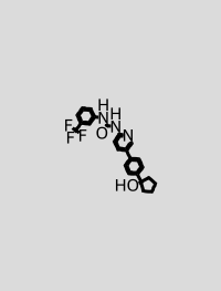 O=C(Nc1cccc(C(F)(F)F)c1)Nc1ccc(-c2ccc(C3(O)CCCC3)cc2)cn1